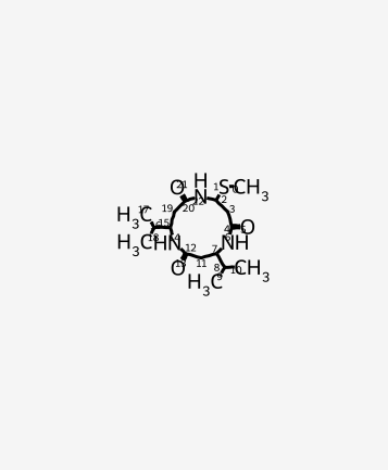 CSC1CC(=O)NC(C(C)C)CC(=O)NC(C(C)C)CC(=O)N1